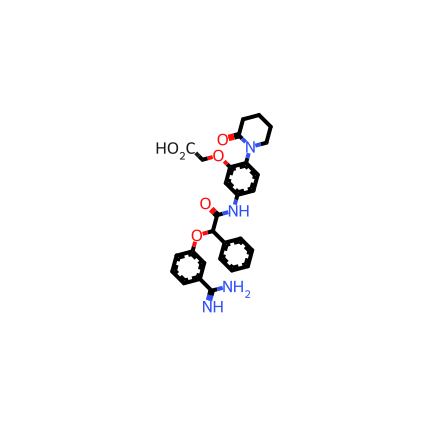 N=C(N)c1cccc(OC(C(=O)Nc2ccc(N3CCCCC3=O)c(OCC(=O)O)c2)c2ccccc2)c1